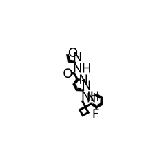 O=C(Nc1ccon1)c1ccc(NCC2(c3ncccc3F)CCC2)nn1